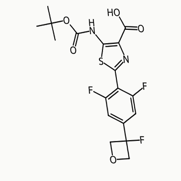 CC(C)(C)OC(=O)Nc1sc(-c2c(F)cc(C3(F)COC3)cc2F)nc1C(=O)O